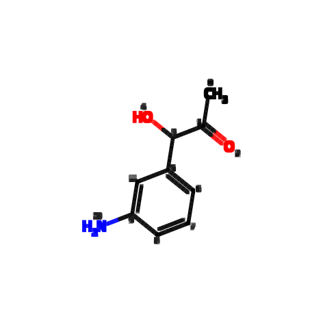 CC(=O)C(O)c1cccc(N)c1